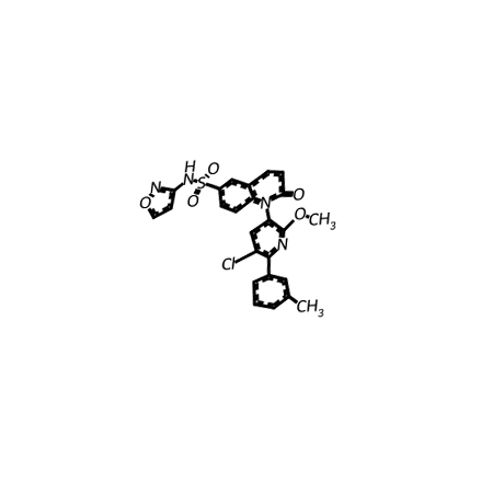 COc1nc(-c2cccc(C)c2)c(Cl)cc1-n1c(=O)ccc2cc(S(=O)(=O)Nc3ccon3)ccc21